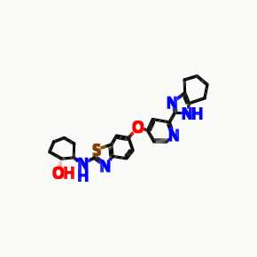 O[C@@H]1CCCC[C@H]1Nc1nc2ccc(Oc3ccnc(-c4nc5c([nH]4)CCCC5)c3)cc2s1